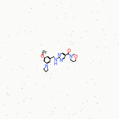 CC(C)Oc1cc(CNc2ncc(C(=O)N3CCCOC3)cn2)cc(N2CCC2)c1